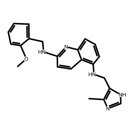 COc1ccccc1CNc1ccc2c(NCc3[nH]cnc3C)cccc2n1